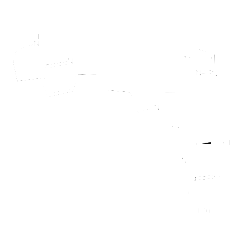 CC(C)(C)OC(=O)N[C@@H](CCN(CCCCc1ccc2c(n1)NCCC2)CCn1cccn1)C(=O)O